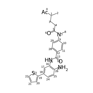 CC(=O)C(C)CCC(=O)N(C)c1ccc(C(=O)Nc2cc(-c3cccs3)ccc2N)cc1